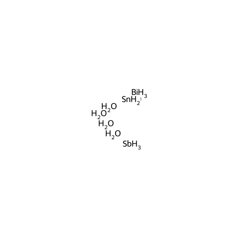 O.O.O.O.[BiH3].[SbH3].[SnH2]